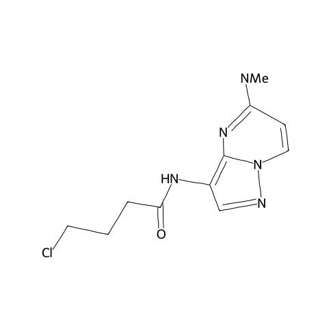 CNc1ccn2ncc(NC(=O)CCCCl)c2n1